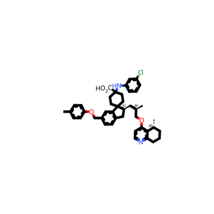 Cc1ccc(OCc2ccc3c(c2)C2(CCC(Nc4cccc(Cl)c4)(C(=O)O)CC2)[C@@H](C[C@@H](C)COc2ccnc4c2[C@H](C)CCC4)C3)cc1